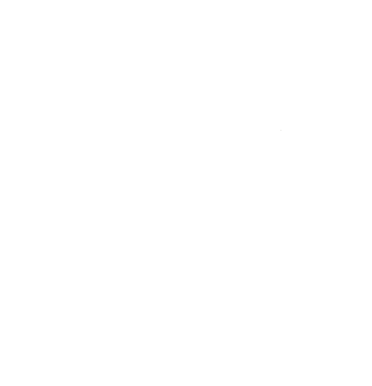 COC(=O)C(C)Oc1cccc2c(Oc3ccc(Cl)cc3Cl)cccc12